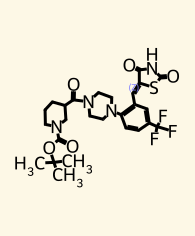 CC(C)(C)OC(=O)N1CCCC(C(=O)N2CCN(c3ccc(C(F)(F)F)cc3/C=C3\SC(=O)NC3=O)CC2)C1